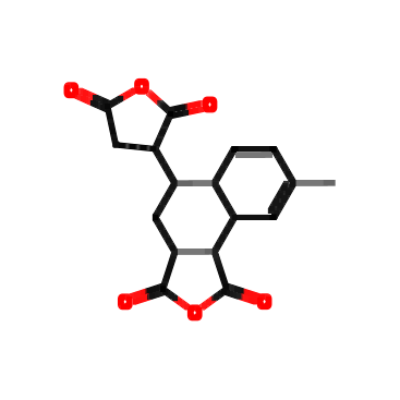 CC1=CC2C(C=C1)C(C1CC(=O)OC1=O)CC1C(=O)OC(=O)C12